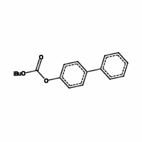 CC(C)COC(=O)Oc1ccc(-c2ccccc2)cc1